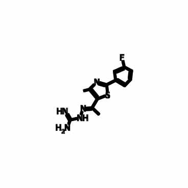 C/C(=N\NC(=N)N)c1sc(-c2cccc(F)c2)nc1C